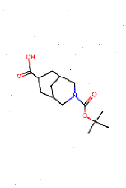 CC(C)(C)OC(=O)N1CC2CC(CC(C(=O)O)C2)C1